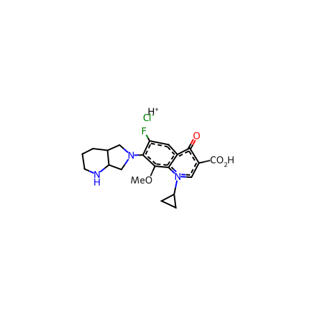 COc1c(N2CC3CCCNC3C2)c(F)cc2c(=O)c(C(=O)O)cn(C3CC3)c12.[Cl-].[H+]